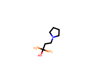 OC(P)(P)CCN1CCCC1